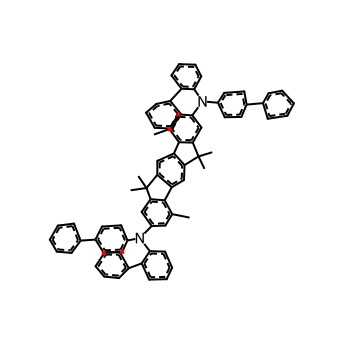 Cc1cc(N(c2ccc(-c3ccccc3)cc2)c2ccccc2-c2ccccc2)cc2c1-c1cc3c(cc1C2(C)C)-c1c(C)cc(N(c2ccc(-c4ccccc4)cc2)c2ccccc2-c2ccccc2)cc1C3(C)C